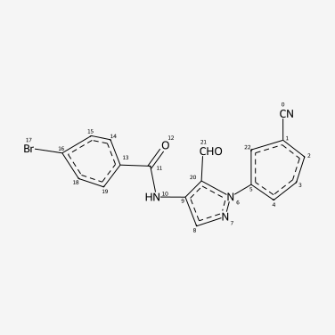 N#Cc1cccc(-n2ncc(NC(=O)c3ccc(Br)cc3)c2C=O)c1